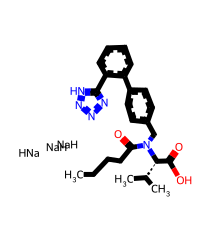 CCCCC(=O)N(Cc1ccc(-c2ccccc2-c2nnn[nH]2)cc1)[C@H](C(=O)O)C(C)C.[NaH].[NaH].[NaH]